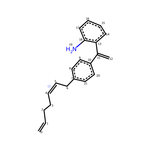 C=CCC/C=C\Cc1ccc(C(=C)c2ccccc2N)cc1